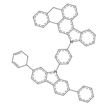 C1=CCC(c2ccc3c4ccc(-c5ccccc5)cc4n(-c4ccc(-n5c6ccccc6c6c7cccc8c7c(cc65)-c5ccccc5C8)cc4)c3c2)C=C1